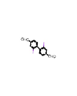 O=[C]c1ccc(-c2ccc([C]=O)cc2I)c(I)c1